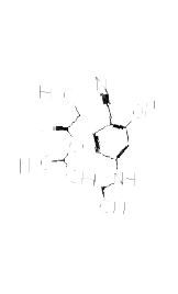 CCC(=O)OC(C)C.CCNc1ccc(C#N)c(O)c1